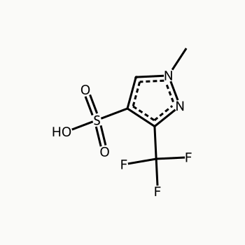 Cn1cc(S(=O)(=O)O)c(C(F)(F)F)n1